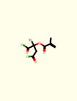 C=C(C)C(=O)OC(CC)(CC(=O)Cl)C(=O)Cl